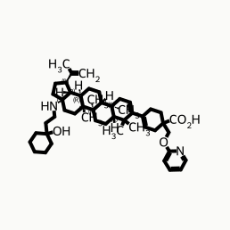 C=C(C)[C@@H]1CC[C@]2(NCCC3(O)CCCCC3)CC[C@]3(C)[C@H](CC[C@@H]4[C@@]5(C)CC=C(C6=CCC(COc7ccccn7)(C(=O)O)CC6)C(C)(C)[C@@H]5CC[C@]43C)[C@@H]12